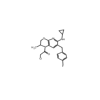 CC1COc2nc(NC3CC3)c(Cc3ccc(F)cc3)cc2N1C(=O)CCl